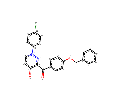 O=C(c1ccc(OCc2ccccc2)cc1)c1nn(-c2ccc(Cl)cc2)ccc1=O